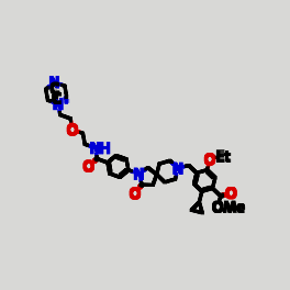 CCOc1cc(C(=O)OC)c(C2CC2)cc1CN1CCC2(CC1)CC(=O)N(c1ccc(C(=O)NCCOCC[N+]34CCN(CC3)CC4)cc1)C2